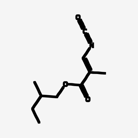 CCC(C)COC(=O)C(C)=CN=C=O